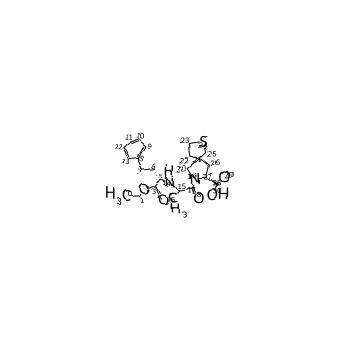 CCOC(=O)[C@H](CCc1ccccc1)NC(C)C(=O)N1CC2(CCSC2)C[C@H]1C(=O)O